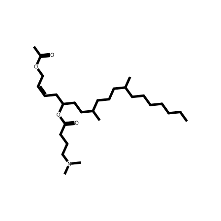 CCCCCCCC(C)CCCC(C)CCC(C/C=C\COC(C)=O)OC(=O)CCCN(C)C